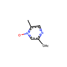 CC(=O)Oc1c[n+]([O-])c(C)cn1